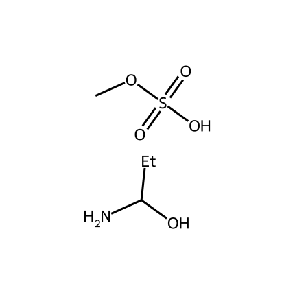 CCC(N)O.COS(=O)(=O)O